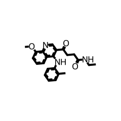 CCNC(=O)CCC(=O)c1cnc2c(OC)cccc2c1Nc1ccccc1C